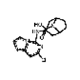 O=C(O)N1C2CCC1CC(Nc1nc(Cl)cc3nccn13)C2